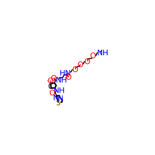 CNCCOCCOCCOCCOCCNC(=O)CCCNC(=O)c1cc(NC(=O)c2cn3ccsc3n2)ccc1OC